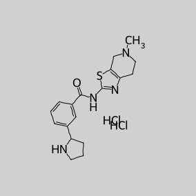 CN1CCc2nc(NC(=O)c3cccc(C4CCCN4)c3)sc2C1.Cl.Cl